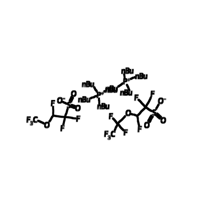 CCCC[P+](CCCC)(CCCC)CCCC.CCCC[P+](CCCC)(CCCC)CCCC.O=S(=O)([O-])C(F)(F)C(F)OC(F)(F)C(F)(F)F.O=S(=O)([O-])C(F)(F)C(F)OC(F)(F)F